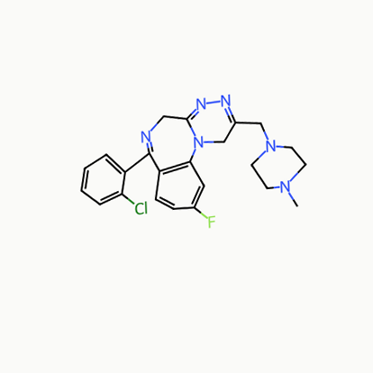 CN1CCN(CC2=NN=C3CN=C(c4ccccc4Cl)c4ccc(F)cc4N3C2)CC1